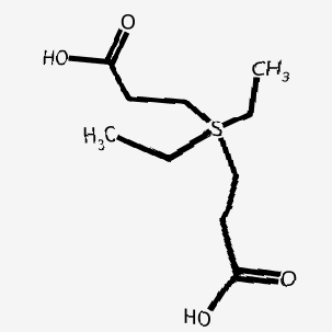 CCS(CC)(CCC(=O)O)CCC(=O)O